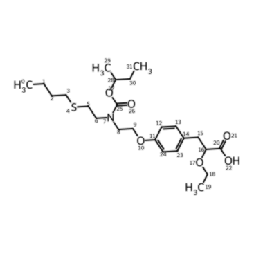 CCCCSCCN(CCOc1ccc(CC(OCC)C(=O)O)cc1)C(=O)OC(C)CC